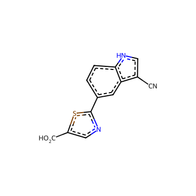 N#Cc1c[nH]c2ccc(-c3ncc(C(=O)O)s3)cc12